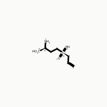 C=CC[S@@](=N)(=O)CC[C@H](N)C(=O)O